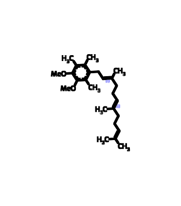 COc1c(C)c(C)c(C/C=C(\C)CC/C=C(\C)CCC=C(C)C)c(C)c1OC